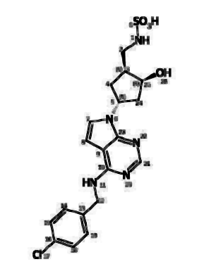 O=S(=O)(O)NC[C@@H]1C[C@@H](n2ccc3c(NCc4ccc(Cl)cc4)ncnc32)C[C@@H]1O